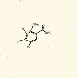 COc1c(C(N)=O)cc(Br)c(F)c1F